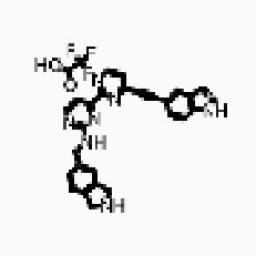 C(#Cc1ccnc(-c2ccnc(NCc3ccc4c(c3)CNC4)n2)n1)c1ccc2[nH]ncc2c1.O=C(O)C(F)(F)F